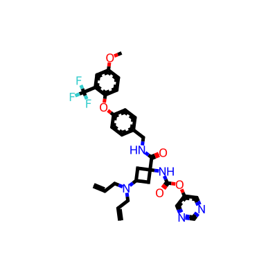 C=CCN(CC=C)C1CC(NC(=O)Oc2cncnc2)(C(=O)NCc2ccc(Oc3ccc(OC)cc3C(F)(F)F)cc2)C1